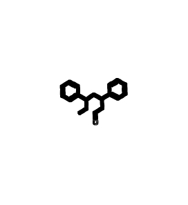 CCC(CC(CC=O)c1ccccc1)c1ccccc1